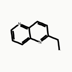 [CH2]Cc1ccc2ncccc2n1